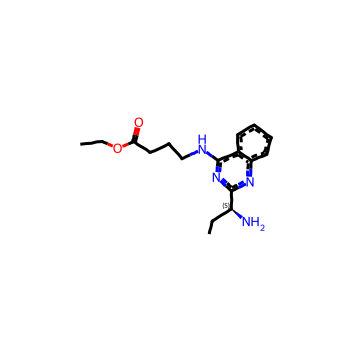 CCOC(=O)CCCNc1nc([C@@H](N)CC)nc2ccccc12